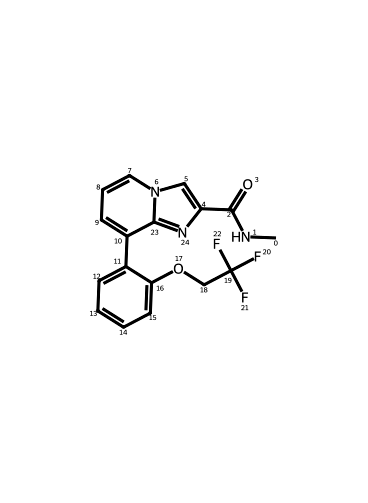 CNC(=O)c1cn2cccc(-c3ccccc3OCC(F)(F)F)c2n1